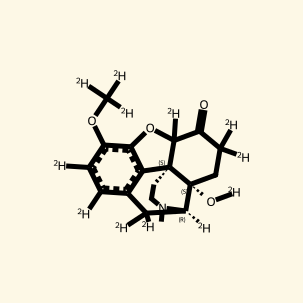 [2H]O[C@@]12CC([2H])([2H])C(=O)C3([2H])Oc4c(OC([2H])([2H])[2H])c([2H])c([2H])c5c4[C@@]31CCN(C)[C@]2([2H])C5([2H])[2H]